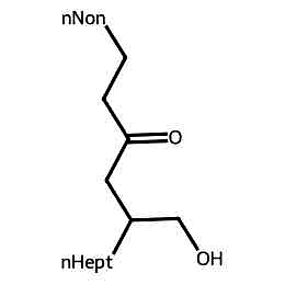 CCCCCCCCCCCC(=O)CC(CO)CCCCCCC